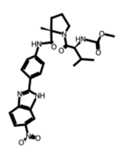 COC(=O)N[C@H](C(=O)N1CCC[C@@]1(C)C(=O)Nc1ccc(-c2nc3ccc([N+](=O)[O-])cc3[nH]2)cc1)C(C)C